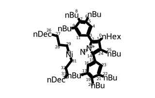 CCCCCCC1=C(c2cc(CCCC)c(CCCC)c(CCCC)c2)[N+](=[N-])C(c2cc(CCCC)c(CCCC)c(CCCC)c2)=C1CCCC.CCCCCCCCCCCC[CH2][Ni][CH2]CCCCCCCCCCCC